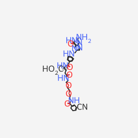 N#CC1=CCCC(C(=O)NCCOCCOCCNC(=O)CC[C@H](NC(=O)c2ccc(NCc3cnc4nc(N)[nH]c(=O)c4n3)cc2)C(=O)O)=C1